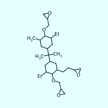 CCC1CC(C(C)(C)C2CC(CC)C(OCC3CO3)C(CCC3CO3)C2)CC(C)C1OCC1CO1